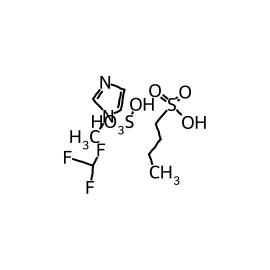 CCCCS(=O)(=O)O.Cn1ccnc1.FC(F)F.O=S(=O)(O)O